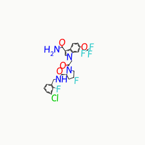 NC(=O)c1cn(CC(=O)N2C[C@H](F)C[C@H]2C(=O)NCc2cccc(Cl)c2F)c2cc(OC(F)(F)F)ccc12